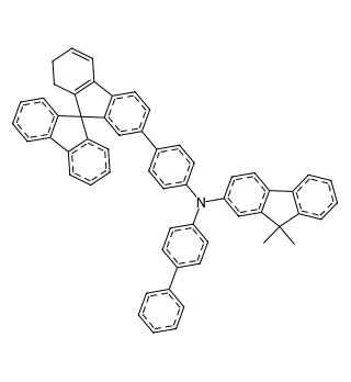 CC1(C)c2ccccc2-c2ccc(N(c3ccc(-c4ccccc4)cc3)c3ccc(-c4ccc5c(c4)C4(C6=C5C=CCC6)c5ccccc5-c5ccccc54)cc3)cc21